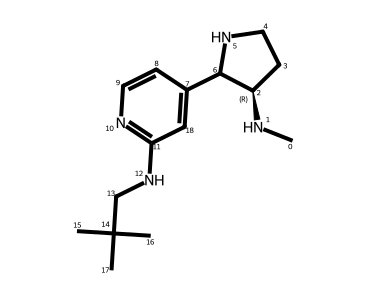 CN[C@@H]1CCNC1c1ccnc(NCC(C)(C)C)c1